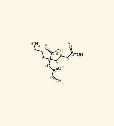 C=CC(=O)OC(CCCC)(CCCC(=O)O)C(=O)O